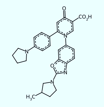 CC1CCN(c2nc3ccc(-n4cc(C(=O)O)c(=O)cc4-c4ccc(N5CCCC5)cc4)cc3o2)C1